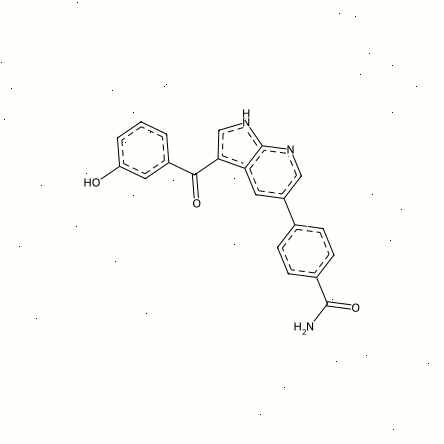 NC(=O)c1ccc(-c2cnc3[nH]cc(C(=O)c4cccc(O)c4)c3c2)cc1